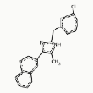 Cc1[nH]c(Cc2cccc(Cl)c2)nc1-c1ccc2ccccc2c1